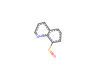 O=Pc1cccc2cccnc12